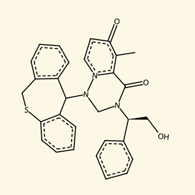 Cc1c2n(ccc1=O)N(C1c3ccccc3CSc3ccccc31)CN([C@@H](CO)c1ccccc1)C2=O